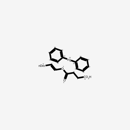 CCCCCCCCCCC=COC(=O)CCC(=O)O.c1cc[c]([Hg][c]2ccccc2)cc1